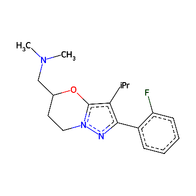 CC(C)c1c(-c2ccccc2F)nn2c1OC(CN(C)C)CC2